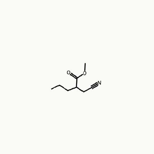 CCCC(CC#N)C(=O)OC